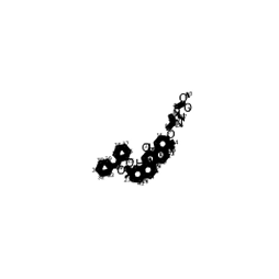 COC(=O)Cn1cc(CO[C@H]2CC[C@]3(C)[C@H]4C(=O)C=C5[C@@H]6C[C@@](C)(C(=O)OC(c7ccccc7)c7ccccc7)CC[C@]6(C)CC[C@@]5(C)[C@]4(C)CC[C@H]3C2(C)C)nn1